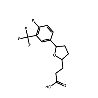 O=C(O)CCC1CCC(c2ccc(F)c(C(F)(F)F)c2)O1